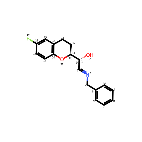 O[C@H](C=NCc1ccccc1)[C@@H]1CCc2cc(F)ccc2O1